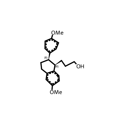 COc1ccc([C@@H]2CCc3cc(OC)ccc3[C@@H]2CCCO)cc1